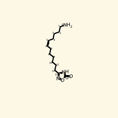 NCCCC/C=C\CCCCCCc1noc(=O)[nH]1